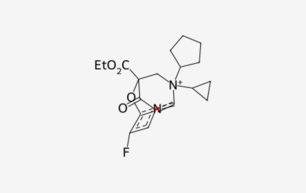 CCOC(=O)C12C[N+](C3CCCC3)(C3CC3)c3nc(c(F)cc3C1=O)O2